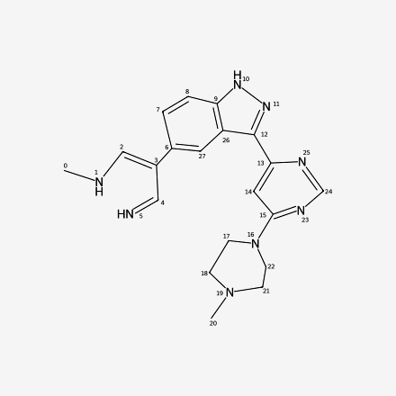 CN/C=C(\C=N)c1ccc2[nH]nc(-c3cc(N4CCN(C)CC4)ncn3)c2c1